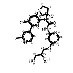 Cc1cc(-c2nc3c(cc2Cl)N2CC[C@@H](C2)N3C(=O)Nc2cc(OCC(O)CO)ncn2)ccn1